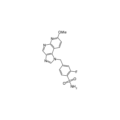 COc1ccc2c(ncc3ncn(Cc4ccc(S(N)(=O)=O)c(F)c4)c32)n1